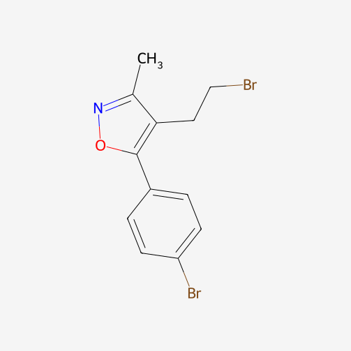 Cc1noc(-c2ccc(Br)cc2)c1CCBr